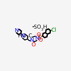 CS(=O)(=O)O.O=C(O)[C@H]1CN(S(=O)(=O)c2ccc3cc(Cl)ccc3c2)CC(=O)N1CC1CCN(c2ccncc2)CC1